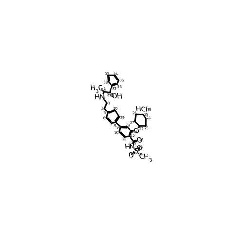 C[C@H](NCCc1ccc(-c2ccc(C(=O)NS(C)(=O)=O)c(OC3CCCCC3)c2)cc1)[C@@H](O)c1ccccc1.Cl